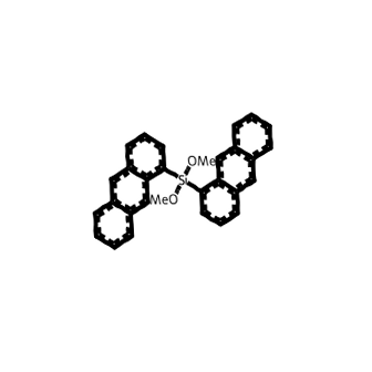 CO[Si](OC)(c1cccc2cc3ccccc3cc12)c1cccc2cc3ccccc3cc12